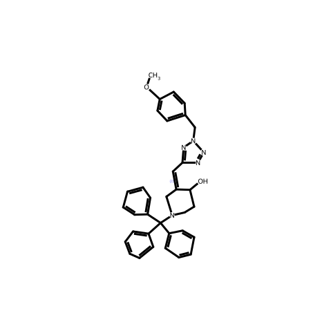 COc1ccc(Cn2nnc(/C=C3/CN(C(c4ccccc4)(c4ccccc4)c4ccccc4)CCC3O)n2)cc1